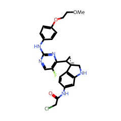 COCCOc1ccc(Nc2ncc(F)c(C3C[C@@]34CNc3cc(NC(=O)CCl)ccc34)n2)cc1